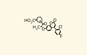 CC(Oc1ccc2c(-c3ccc(F)cc3Cl)cc(=O)oc2c1)C(=O)N1CCC[C@H](C(=O)O)C1